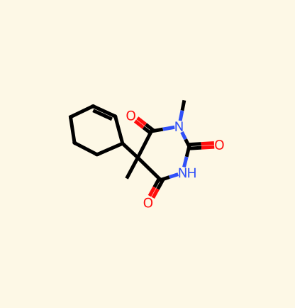 CN1C(=O)NC(=O)C(C)(C2C=CCCC2)C1=O